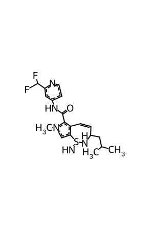 CC(C)CC1C=Cc2c(cn(C)c2C(=O)Nc2ccnc(C(F)F)c2)S(=N)N1